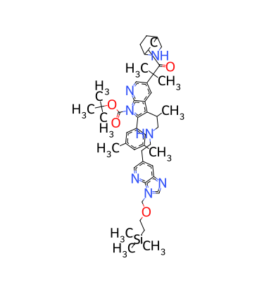 Cc1cc(C)cc(-c2c(C(C)CNCCc3cnc4c(c3)ncn4COCC[Si](C)(C)C)c3cc(C(C)(C)C(=O)C4CC5CCC4NC5)cnc3n2C(=O)OC(C)(C)C)c1